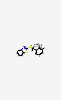 Cc1cccc(C(C)(Sc2nc3ccccc3s2)C(=O)O)c1C